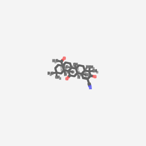 CC(=O)[C@]12CCC(C)(C)C[C@H]1[C@H]1C(=O)C[C@@H]3[C@@]4(C)C=C(C#N)C(=O)C(C)(C)[C@@H]4CC[C@@]3(C)[C@]1(C)CC2